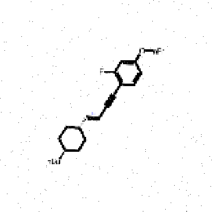 CCCC[C@H]1CC[C@H](/C=C/C#Cc2ccc(OCCC)cc2F)CC1